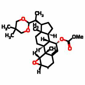 COC(=O)O[C@@H]1C=C2C[CH][C@@H]3O[C@@H]3[C@]2(C)[C@H]2CC[C@]3(C)[C@@H](C(C)C4OCC(C)(C)CO4)CC[C@H]3[C@H]12